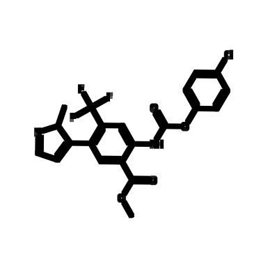 COC(=O)c1cc(C2=CC=NC2C)c(C(F)(F)F)cc1NC(=O)Oc1ccc(Cl)cc1